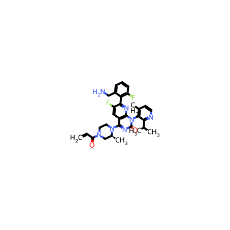 C=CC(=O)N1CCN(c2nc(=O)n(-c3c(C)ccnc3C(C)C)c3nc(-c4c(F)cccc4CN)c(F)cc23)[C@@H](C)C1